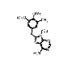 CCCCn1c(Cc2cc(C)c(OC)c(OC)c2)nc2c(N)ncnc21